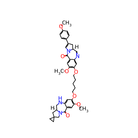 COc1ccc(C2=CN3C(=O)c4cc(OC)c(OCCCCCOc5cc6c(cc5OC)C(=O)N5CC7(CC7)C[C@H]5CN6)cc4N=C[C@@H]3C2)cc1